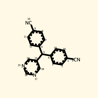 N#Cc1ccc(C(c2ccc(C#N)cc2)c2cncnc2)cc1